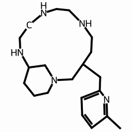 Cc1cccc(CC2CCNCCNCCNC3CCCN(C2)C3)n1